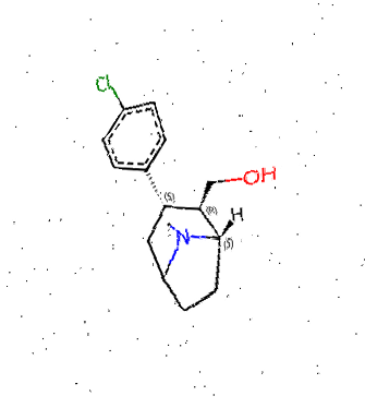 CN1C2CC[C@H]1[C@H](CO)[C@@H](c1ccc(Cl)cc1)C2